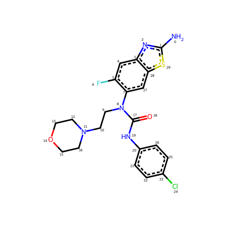 Nc1nc2cc(F)c(N(CCN3CCOCC3)C(=O)Nc3ccc(Cl)cc3)cc2s1